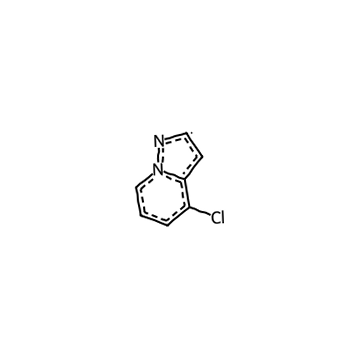 Clc1cccn2n[c]cc12